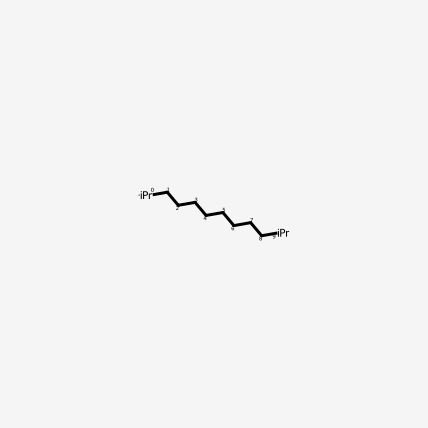 C[C](C)CCCCCCCCC(C)C